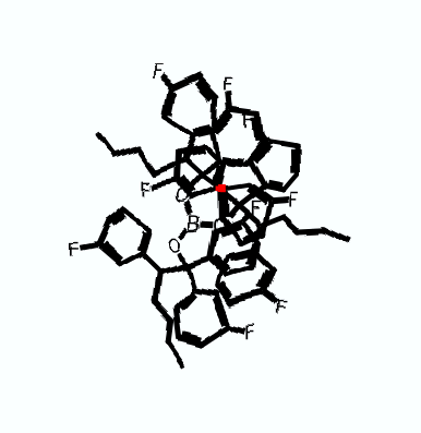 CCCCC(c1cccc(F)c1)C(OB(OC(c1cccc(F)c1)(c1cccc(F)c1)C(CCCC)c1cccc(F)c1)OC(c1cccc(F)c1)(c1cccc(F)c1)C(CCCC)c1cccc(F)c1)(c1cccc(F)c1)c1cccc(F)c1